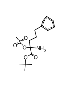 CC(C)(C)OC(=O)C(N)(CCCc1ccccc1)OS(C)(=O)=O